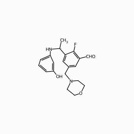 C[C](Nc1cccc(O)c1)c1cc(CN2CCOCC2)cc(C=O)c1F